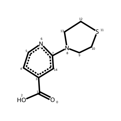 O=C(O)c1ccnc(N2CCSCC2)c1